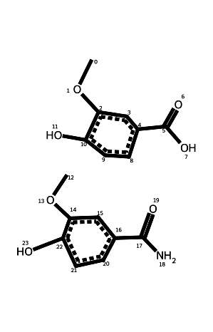 COc1cc(C(=O)O)ccc1O.COc1cc(C(N)=O)ccc1O